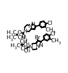 Cc1cc(-c2cc3n(n2)CCN(C(=O)OC(C)(C)C)C3)ccc1Cl.Cc1cc(-c2nn3c(c2Br)CN(C(=O)OC(C)(C)C)CC3)ccc1Cl